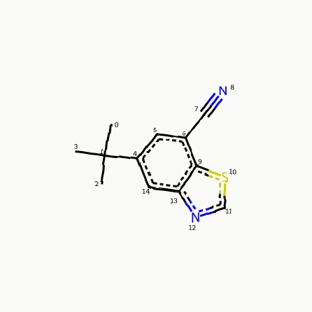 CC(C)(C)c1cc(C#N)c2scnc2c1